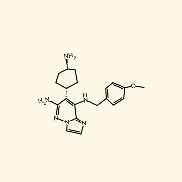 COc1ccc(CNc2c3nccn3nc(N)c2[C@H]2CC[C@H](N)CC2)cc1